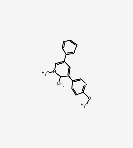 COc1ccc(C2=CC(c3ccccc3)=CN(C)C2N)cn1